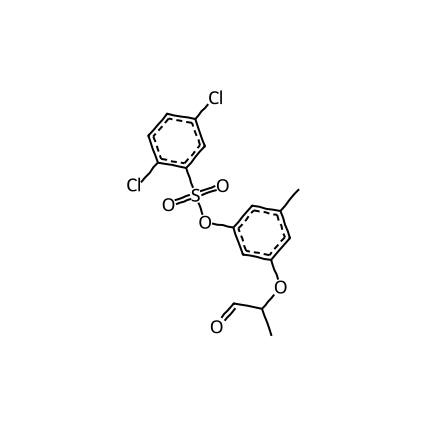 Cc1cc(OC(C)C=O)cc(OS(=O)(=O)c2cc(Cl)ccc2Cl)c1